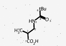 CC(CNC(=O)C(C)(C)C)C(=O)O